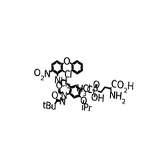 CC(C)Oc1cc(-n2nc(C(C)(C)C)oc2=O)c(Cl)cc1Cl.CP(=O)(O)CCC(N)C(=O)O.Nc1c([N+](=O)[O-])ccc(Oc2ccccc2)c1Cl